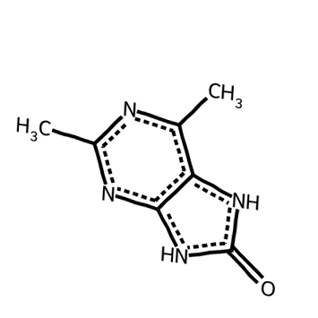 Cc1nc(C)c2[nH]c(=O)[nH]c2n1